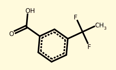 CC(F)(F)c1cccc(C(=O)O)c1